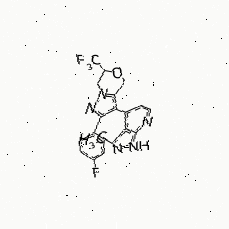 Cc1n[nH]c2nccc(-c3c(-c4ccc(F)cc4)nn4c3COC(C(F)(F)F)C4)c12